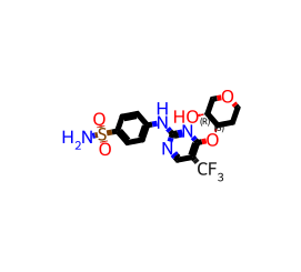 NS(=O)(=O)c1ccc(Nc2ncc(C(F)(F)F)c(O[C@H]3CCOC[C@H]3O)n2)cc1